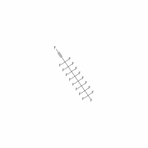 FC#CC(F)(F)C(F)(F)C(F)(F)C(F)(F)C(F)(F)C(F)(F)C(F)(F)C(F)(F)F